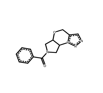 O=C(c1ccccc1)N1CC2OCc3cnnn3C2C1